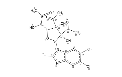 CC(=O)C(O)[C@H]1O[C@@H](n2c(Cl)nc3cc(Cl)c(Cl)cc32)[C@](O)(C(C)=O)[C@]1(O)C(C)=O